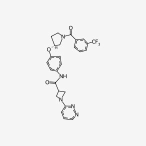 O=C(Nc1ccc(O[C@@H]2CCN(C(=O)c3cccc(C(F)(F)F)c3)C2)cc1)C1CN(c2cccnn2)C1